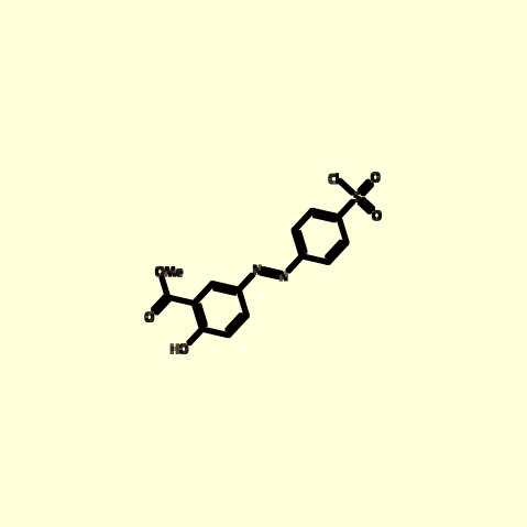 COC(=O)c1cc(N=Nc2ccc(S(=O)(=O)Cl)cc2)ccc1O